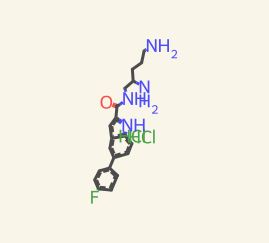 Cl.Cl.NCCCC(N)CNC(=O)c1cc2cc(-c3ccc(F)cc3)ccc2[nH]1